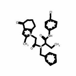 CCC(C(=O)Nc1ccc(Cl)cc1)N(Cc1ccccc1)C(=O)Cn1c(C)cc2c1CCCC2=O